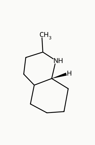 CC1CCC2CCCC[C@H]2N1